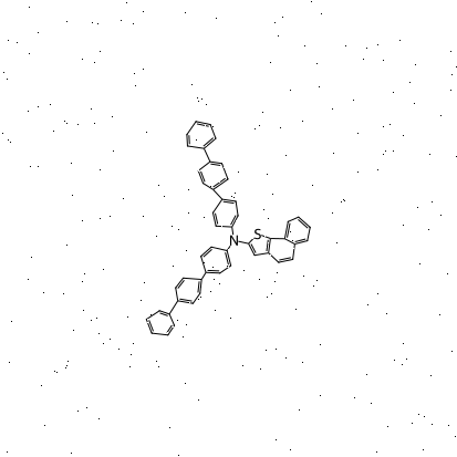 c1ccc(-c2ccc(-c3ccc(N(c4ccc(-c5ccc(-c6ccccc6)cc5)cc4)c4cc5ccc6ccccc6c5s4)cc3)cc2)cc1